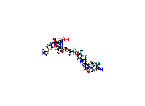 Cc1ncsc1-c1ccc(CNC(=O)[C@@H]2C[C@@H](O)CN2C(=O)[C@@H](NC(=O)COCC(F)C(F)COc2ccc(-c3ncc(N4C(=S)N(c5ccc(C#N)c(C(F)(F)F)c5F)C(=O)C4(C)C)cc3F)cc2F)C(C)(C)C)cc1